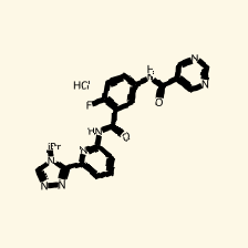 CC(C)n1cnnc1-c1cccc(NC(=O)c2cc(NC(=O)c3cncnc3)ccc2F)n1.Cl